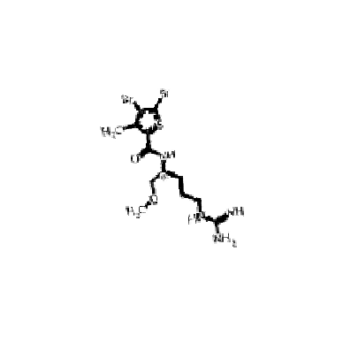 COC[C@H](CCCNC(=N)N)NC(=O)c1sc(Br)c(Br)c1C